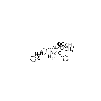 Cc1nc(CC2CCN(c3nc4ccccc4s3)CC2)nc(C(=O)OC(C)(C)C)c1OCc1ccccc1